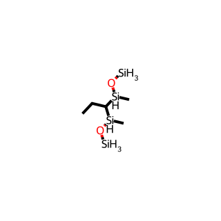 CCC([SiH](C)O[SiH3])[SiH](C)O[SiH3]